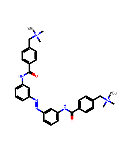 CCCC[N+](C)(C)Cc1ccc(C(=O)Nc2cccc(N=Nc3cccc(NC(=O)c4ccc(C[N+](C)(C)CCCC)cc4)c3)c2)cc1